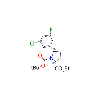 CCOC(=O)[C@H]1CC[C@@H](c2cc(F)cc(Cl)c2)N1C(=O)OC(C)(C)C